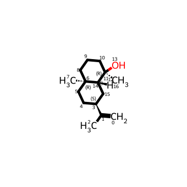 C=C(C)[C@H]1CC[C@@]2(C)CCC[C@@](C)(O)[C@@H]2C1